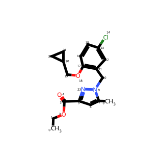 CCOC(=O)c1cc(C)n(Cc2cc(Cl)ccc2OCC2CC2)n1